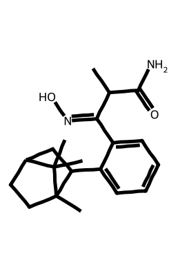 CC(C(N)=O)C(=NO)c1ccccc1C1CC2CCC1(C)C2(C)C